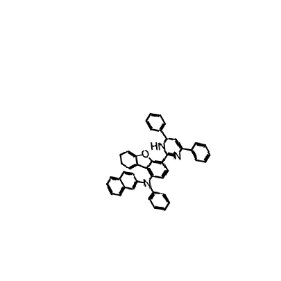 C1=C(c2ccccc2)N=C(c2ccc(N(c3ccccc3)c3ccc4ccccc4c3)c3c4c(oc23)=CCCC=4)NC1c1ccccc1